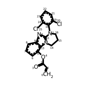 C=CC(=O)Oc1cccc2nc3n(c12)CCCN3c1c(Cl)cccc1Cl